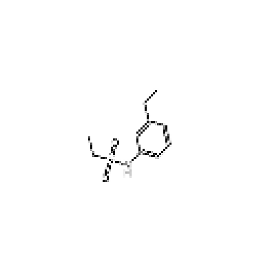 CCc1cccc(NS(=O)(=O)CC)c1